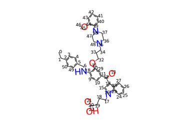 CCc1ccc(CNc2ccc(C(=O)c3cn(CCCC(=O)O)c4ccccc34)cc2OCCCN2CCN(c3ccccc3OC)CC2)cc1